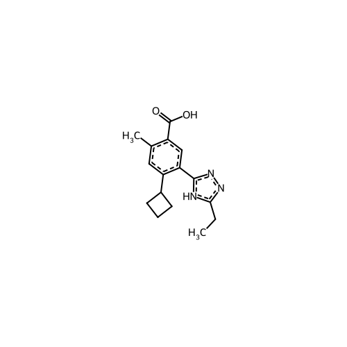 CCc1nnc(-c2cc(C(=O)O)c(C)cc2C2CCC2)[nH]1